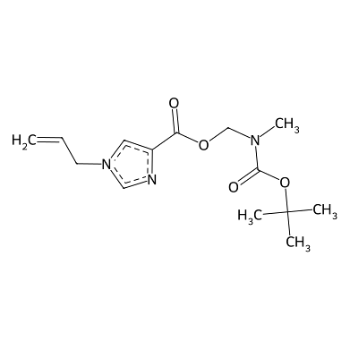 C=CCn1cnc(C(=O)OCN(C)C(=O)OC(C)(C)C)c1